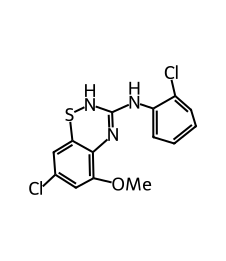 COc1cc(Cl)cc2c1N=C(Nc1ccccc1Cl)NS2